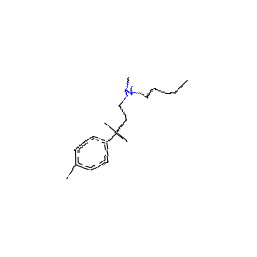 CCCCN(C)CCC(C)(C)c1ccc(C)cc1